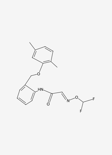 Cc1ccc(C)c(OCc2ccccc2NC(=O)C=NOC(F)F)c1